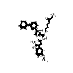 CCC(=O)CCCCC[C@H](NC(=O)Cc1c(C)[nH]c2ccc(OC)cc12)c1ncc(-c2cccc(-c3ccccc3)c2)[nH]1